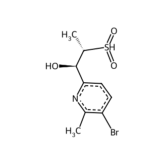 Cc1nc([C@@H](O)[C@H](C)[SH](=O)=O)ccc1Br